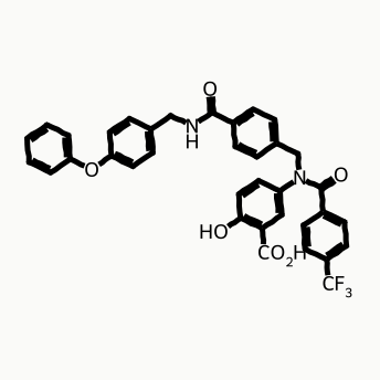 O=C(NCc1ccc(Oc2ccccc2)cc1)c1ccc(CN(C(=O)c2ccc(C(F)(F)F)cc2)c2ccc(O)c(C(=O)O)c2)cc1